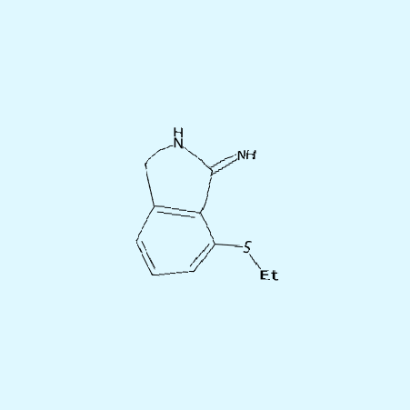 CCSc1cccc2c1C(=N)NC2